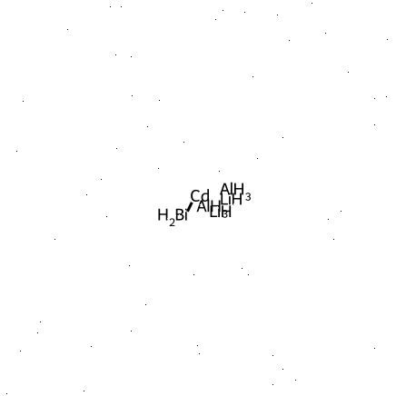 [AlH3].[AlH3].[Cd][BiH2].[LiH].[LiH]